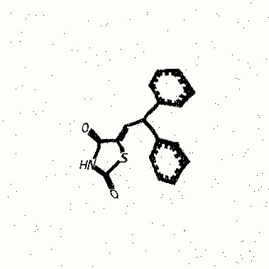 O=C1NC(=O)/C(=C/C(c2ccccc2)c2ccccc2)S1